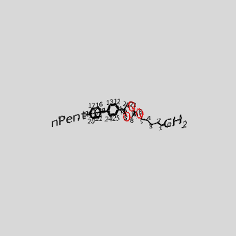 C=CCCCCO[C@@H]1CO[C@@H](c2ccc(C34CCC(CCCCC)(CC3)CC4)cc2)CO1